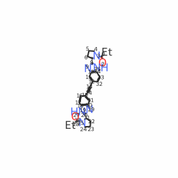 CCC(=O)N1CCC[C@H]1c1nc2cc(C#Cc3ccc4[nH]c([C@@H]5CCCN5C(=O)CC)nc4c3)ccc2[nH]1